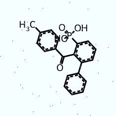 Cc1ccc(C(=O)c2c(-c3ccccc3)cccc2P(=O)(O)O)cc1